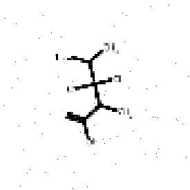 CC(C)C(Cl)(Cl)C(C)C(=O)O